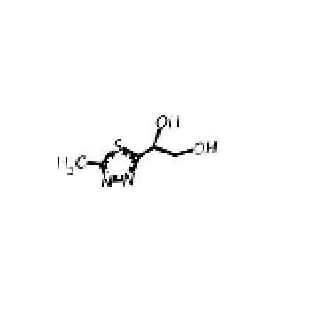 Cc1nnc([C@@H](O)CO)s1